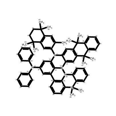 Cc1cc2c(cc1N1c3cc4c(cc3B3c5c(cc(N(c6ccccc6)c6ccccc6)cc51)-c1cccc5c1N3c1ccccc1[Si]5(C)C)C(C)(C)c1ccccc1C4(C)C)C(C)(C)CCC2(C)C